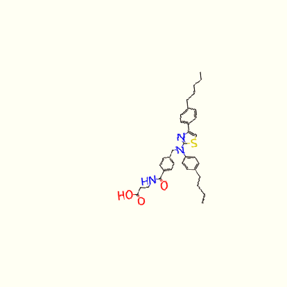 CCCCCc1ccc(-c2csc(N(Cc3ccc(C(=O)NCCC(=O)O)cc3)c3ccc(CCCC)cc3)n2)cc1